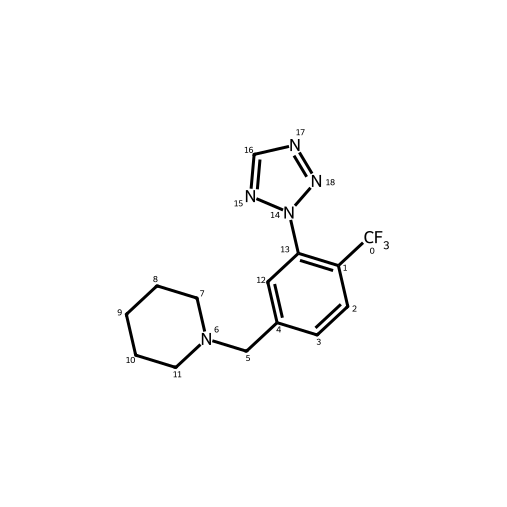 FC(F)(F)c1ccc(CN2CCCCC2)cc1-n1ncnn1